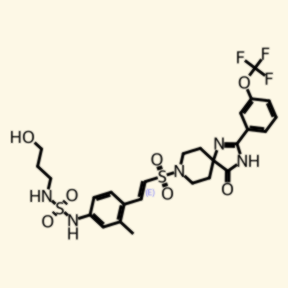 Cc1cc(NS(=O)(=O)NCCCO)ccc1/C=C/S(=O)(=O)N1CCC2(CC1)N=C(c1cccc(OC(F)(F)F)c1)NC2=O